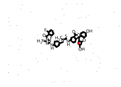 CN(Cc1ccc(Nc2nc(N)n(C(=O)c3c(F)cccc3F)n2)cc1)C(=S)Nc1ccc2c(c1)C(=O)OC21c2ccc(O)cc2Oc2cc(O)ccc21